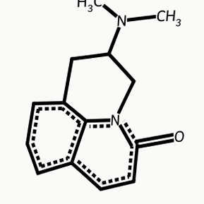 CN(C)C1Cc2cccc3ccc(=O)n(c23)C1